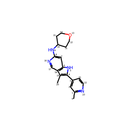 Cc1cc(-c2[nH]c3cc(NC4CCOCC4)ncc3c2C)ccn1